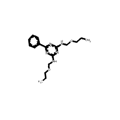 CCCOCNc1nc(NCOCCC)nc(-c2ccccc2)n1